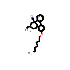 CCCCCCCOc1ccc(-c2ccccc2C2(C#N)CCCC(CC)C2)cc1